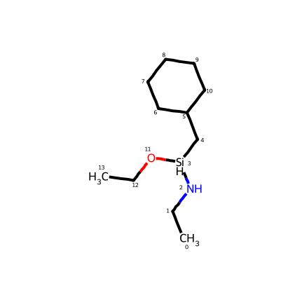 CCN[SiH](CC1CCCCC1)OCC